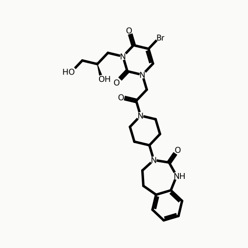 O=C(Cn1cc(Br)c(=O)n(C[C@@H](O)CO)c1=O)N1CCC(N2CCc3ccccc3NC2=O)CC1